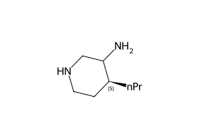 CCC[C@H]1CCNCC1N